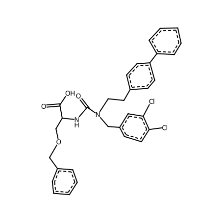 O=C(O)C(COCc1ccccc1)NC(=O)N(CCc1ccc(-c2ccccc2)cc1)Cc1ccc(Cl)c(Cl)c1